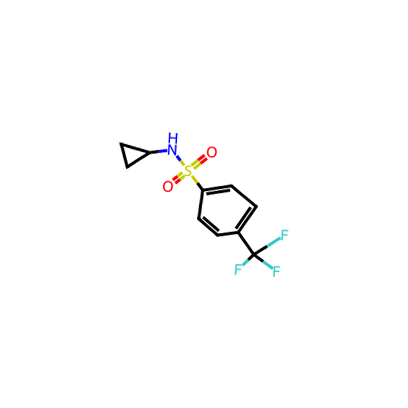 O=S(=O)(N[C]1CC1)c1ccc(C(F)(F)F)cc1